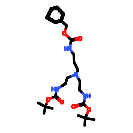 CC(C)(C)OC(=O)NCCN(CCCNC(=O)OCc1ccccc1)CCNC(=O)OC(C)(C)C